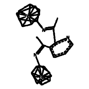 CC(=N[C]12[CH]3[CH]4[CH]5[CH]1[Fe]45321678[CH]2[CH]1[CH]6[CH]7[CH]28)c1cccnc1C(C)=N[C]12[CH]3[CH]4[CH]5[CH]1[Fe]45321678[CH]2[CH]1[CH]6[CH]7[CH]28